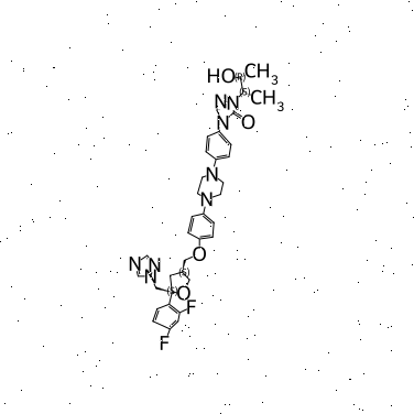 C[C@@H](O)[C@H](C)n1ncn(-c2ccc(N3CCN(c4ccc(OC[C@H]5CO[C@](Cn6cncn6)(c6ccc(F)cc6F)C5)cc4)CC3)cc2)c1=O